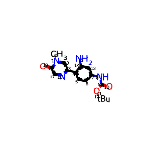 Cn1cc(-c2ccc(NC(=O)OC(C)(C)C)cc2N)ncc1=O